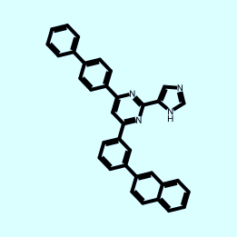 c1ccc(-c2ccc(-c3cc(-c4cccc(-c5ccc6ccccc6c5)c4)nc(-c4cnc[nH]4)n3)cc2)cc1